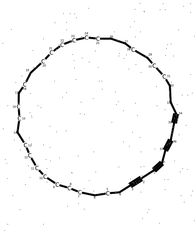 C1#CC#CCCCCCCCCCCCCCCCCCCCCCCCCCCCCCCC#CC#C1